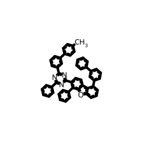 Cc1ccc(-c2cccc(-c3nc(-c4ccccc4)nc(-c4ccc5c(oc6cccc(-c7cccc(-c8ccccc8)c7)c65)c4-c4ccccc4)n3)c2)cc1